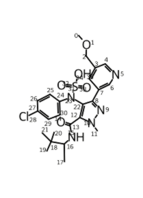 COCc1cncc(-c2nn(C)c(C(=O)NC(C)C(C)(C)C)c2N(c2ccc(Cl)cc2)S(=O)(=O)O)c1